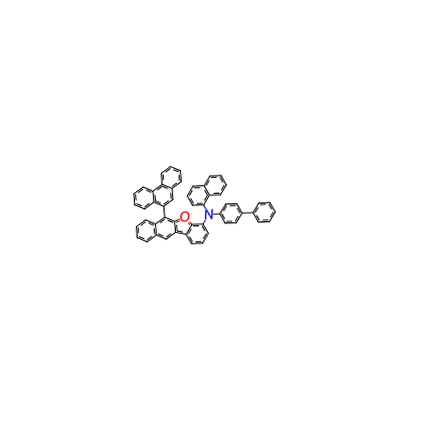 c1ccc(-c2ccc(N(c3cccc4ccccc34)c3cccc4c3oc3c(-c5cc6ccccc6c6ccccc56)c5ccccc5cc34)cc2)cc1